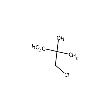 CC(O)(CCl)C(=O)O